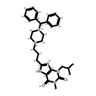 CC(C)Cn1c(=O)n(C)c(=O)c2[nH]c(CCCN3CCN(C(c4ccccc4)c4ccccc4)CC3)nc21